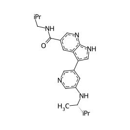 CC(C)CNC(=O)c1cnc2[nH]cc(-c3cncc(N[C@@H](C)C(C)C)c3)c2c1